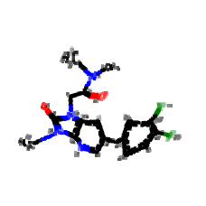 CN(C)C(=O)Cn1c(=O)n(C)c2ncc(-c3ccc(F)c(F)c3)cc21